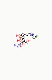 C=C(O)CC1CC2Cc3c(-c4ccc(CNCc5cccc(F)c5)cc4)ccc(O)c3C(=O)C2=C(O)C1C(=O)CC(N)=O